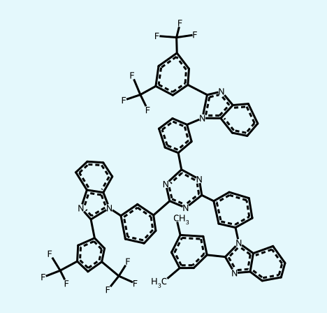 Cc1cc(C)cc(-c2nc3ccccc3n2-c2cccc(-c3nc(-c4cccc(-n5c(-c6cc(C(F)(F)F)cc(C(F)(F)F)c6)nc6ccccc65)c4)nc(-c4cccc(-n5c(-c6cc(C(F)(F)F)cc(C(F)(F)F)c6)nc6ccccc65)c4)n3)c2)c1